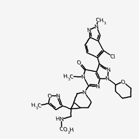 Cc1cc(C2(CNC(=O)O)C3CCN(c4nc5c(c(-c6ccc7nn(C)cc7c6Cl)nn5C5CCCCO5)c(=O)n4C)CC32)no1